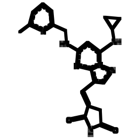 Cc1cccc(CNc2cc(NC3CC3)n3ncc(/C=C4\CC(=O)NC4=O)c3n2)n1